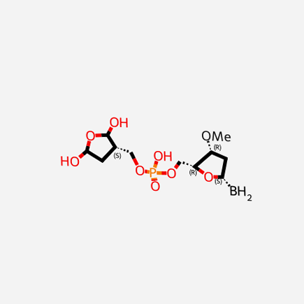 B[C@H]1C[C@@H](OC)[C@@H](COP(=O)(O)OC[C@@H]2CC(O)OC2O)O1